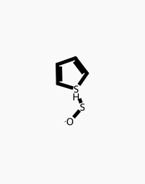 [O]S[SH]1C=CC=C1